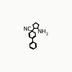 N#CC1(C2CCCC2N)C=CC(c2ccccc2)=CC1